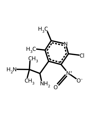 Cc1nc(Cl)c([N+](=O)[O-])c(C(N)C(C)(C)N)c1C